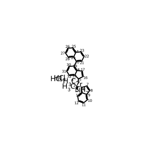 Cl.Cl.[CH3][Zr]([CH3])(=[SiH2])([CH]1C=Cc2ccccc21)[CH]1C=Cc2c(-c3cccc4ccccc34)cccc21